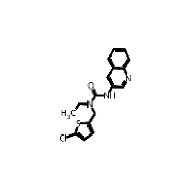 CCN(Cc1ccc(Cl)s1)C(=O)Nc1cnc2ccccc2c1